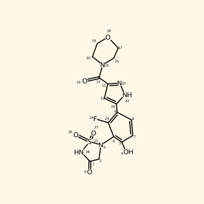 O=C1CN(c2c(O)ccc(-c3cc(C(=O)N4CCOCC4)n[nH]3)c2F)S(=O)(=O)N1